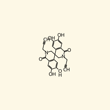 C#CCN1CC2(CN(CC#C)C(=O)c3cc(O)c(O)cc32)c2cc(O)c(O)cc2C1=O